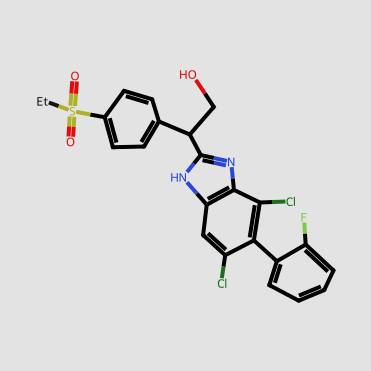 CCS(=O)(=O)c1ccc(C(CO)c2nc3c(Cl)c(-c4ccccc4F)c(Cl)cc3[nH]2)cc1